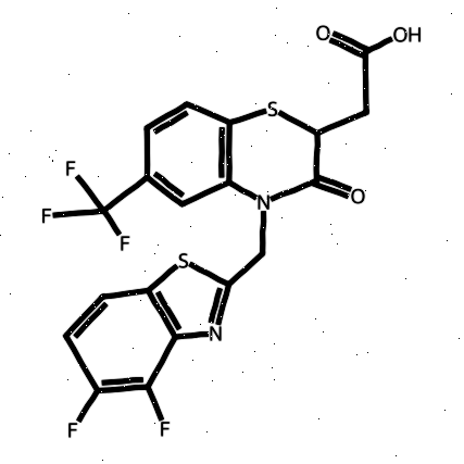 O=C(O)CC1Sc2ccc(C(F)(F)F)cc2N(Cc2nc3c(F)c(F)ccc3s2)C1=O